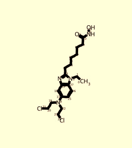 CCn1c(CCCCCCC(=O)NO)nc2cc(N(CCCl)CCCl)ccc21